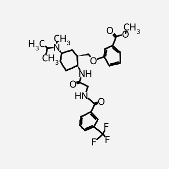 COC(=O)c1cccc(OC[C@@H]2C[C@H](N(C)C(C)C)CC[C@@H]2NC(=O)CNC(=O)c2cccc(C(F)(F)F)c2)c1